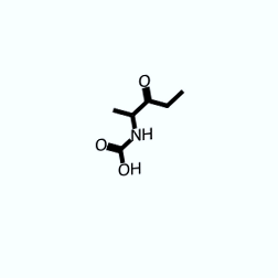 CCC(=O)C(C)NC(=O)O